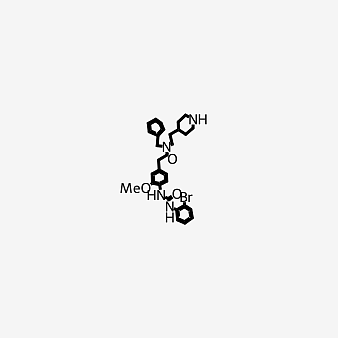 COc1cc(CC(=O)N(CCC2CCNCC2)Cc2ccccc2)ccc1NC(=O)Nc1ccccc1Br